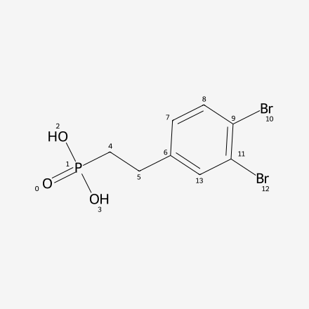 O=P(O)(O)CCc1ccc(Br)c(Br)c1